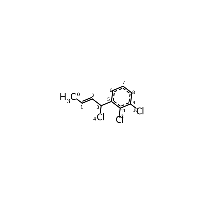 CC=CC(Cl)c1cccc(Cl)c1Cl